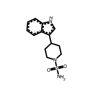 NS(=O)(=O)N1CCC(c2c[nH]c3ccccc23)CC1